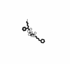 O=C(NCCCCC1CCCCC1)c1coc(OC(=O)C(CCC=CI)c2ccccc2)n1